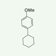 [CH2]Oc1ccc(C2CCCCC2)cc1